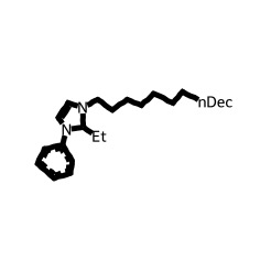 CCCCCCCCCCCCCCCCCN1C=CN(c2ccccc2)C1CC